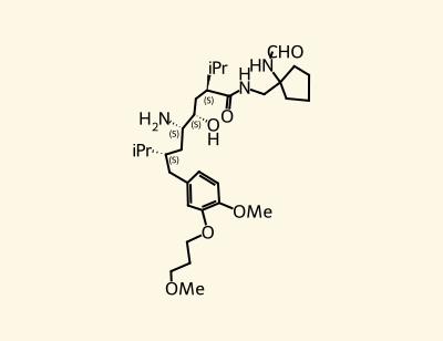 COCCCOc1cc(C[C@@H](C[C@H](N)[C@@H](O)C[C@H](C(=O)NCC2(NC=O)CCCC2)C(C)C)C(C)C)ccc1OC